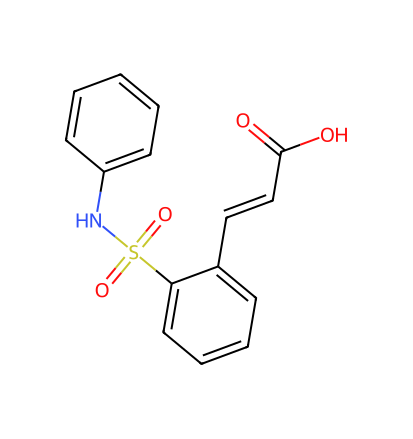 O=C(O)/C=C/c1ccccc1S(=O)(=O)Nc1ccccc1